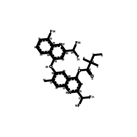 CCC(C)(C)C(=O)Oc1cc(C(F)F)nc2cc(C)c(Oc3cc(C(F)F)nc4c(F)cccc34)cc12